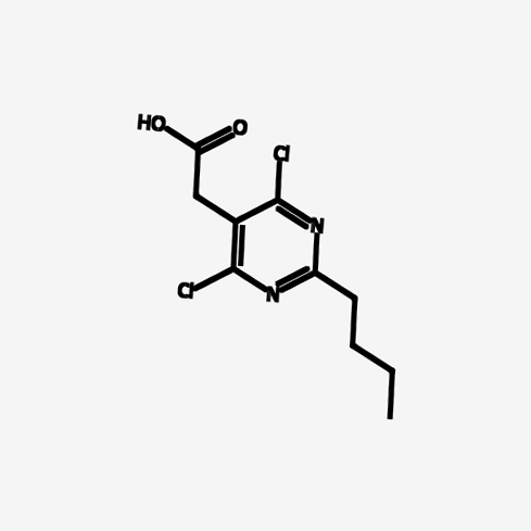 CCCCc1nc(Cl)c(CC(=O)O)c(Cl)n1